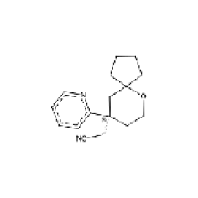 N#CC[C@@]1(c2ccccn2)CCOC2(CCCC2)C1